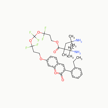 CCc1ccccc1-c1cc2ccc(OCCC(F)(F)OC(F)(F)OC(F)(F)CCOC(=O)C(C)(CC(C)(C)N)C(C)(C)N)cc2oc1=O